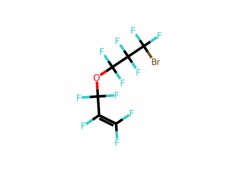 FC(F)=C(F)C(F)(F)OC(F)(F)C(F)(F)C(F)(F)Br